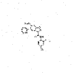 COc1cc2onc(C(=O)Nc3ccc(C#N)cc3C(=O)O)c2cc1-c1cccnn1